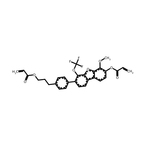 C=CC(=O)OCCCc1ccc(-c2ccc3c(oc4c(OC)c(OC(=O)C=C)ccc43)c2OC(F)(F)F)cc1